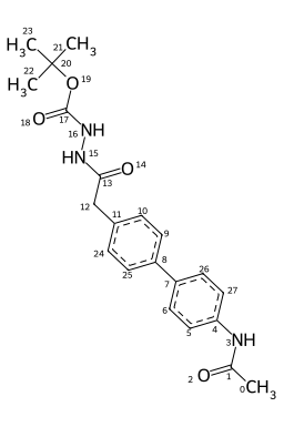 CC(=O)Nc1ccc(-c2ccc(CC(=O)NNC(=O)OC(C)(C)C)cc2)cc1